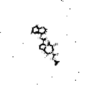 N[C@H]1CN(C(=O)NC2CC2)CC[C@H]2CC[C@@H](C(=O)N[C@@H]3CCOc4ccccc43)N2C1=O